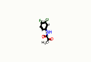 CC(=O)C(=O)Nc1ccc(F)c(Cl)c1